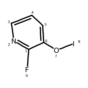 Fc1ncccc1OI